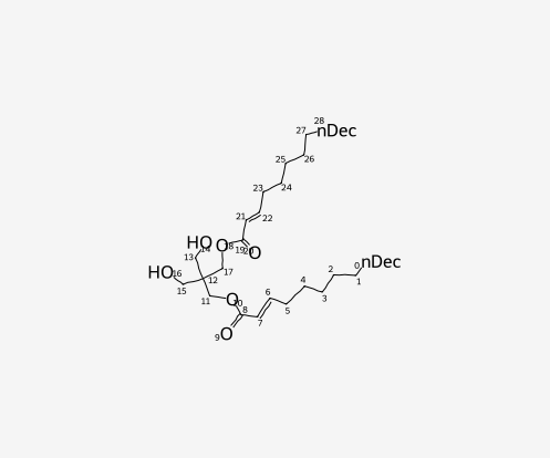 CCCCCCCCCCCCCCCC=CC(=O)OCC(CO)(CO)COC(=O)C=CCCCCCCCCCCCCCCC